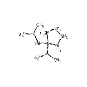 CC(C)N[Si]1(C(C)C)[SiH2][SiH2][SiH2][SiH2]1